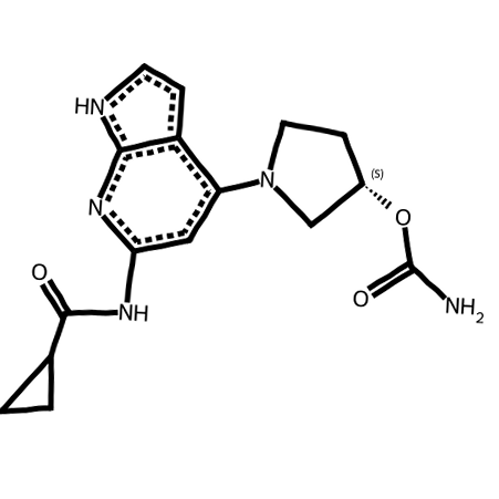 NC(=O)O[C@H]1CCN(c2cc(NC(=O)C3CC3)nc3[nH]ccc23)C1